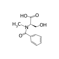 CN(C(=O)c1ccccc1)[C@H](CO)C(=O)O